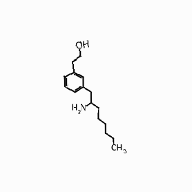 CCCCCCC(N)Cc1cccc(CCO)c1